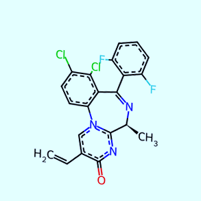 C=Cc1cn2c(nc1=O)[C@H](C)N=C(c1c(F)cccc1F)c1c-2ccc(Cl)c1Cl